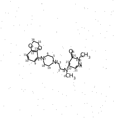 CN(CCN1CCN(c2cccc3c2OCCO3)CC1)c1cnn(C)c(=O)c1